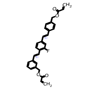 C=CC(=O)OCc1ccc(/C=C/c2ccc(/C=C/c3cccc(COC(=O)C=C)c3)c(F)c2)cc1